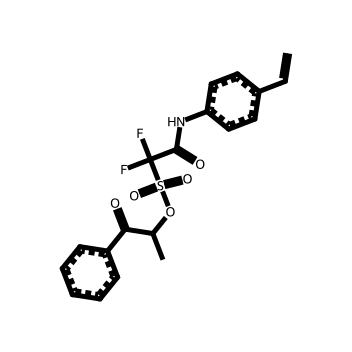 C=Cc1ccc(NC(=O)C(F)(F)S(=O)(=O)OC(C)C(=O)c2ccccc2)cc1